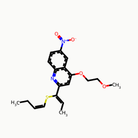 C/C=C(\S/C=C\CC)c1cc(OCCOC)c2cc([N+](=O)[O-])ccc2n1